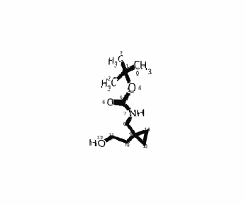 CC(C)(C)OC(=O)NCC1(CCO)CC1